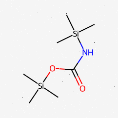 C[Si](C)(C)NC(=O)O[Si](C)(C)C